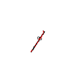 CCCCCCCCC=CCCCCCCCCCCCCCC(=O)OCCCCCCCCCCC(C)CC